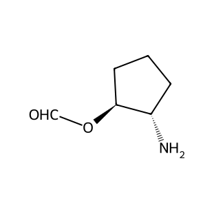 N[C@H]1CCC[C@@H]1OC=O